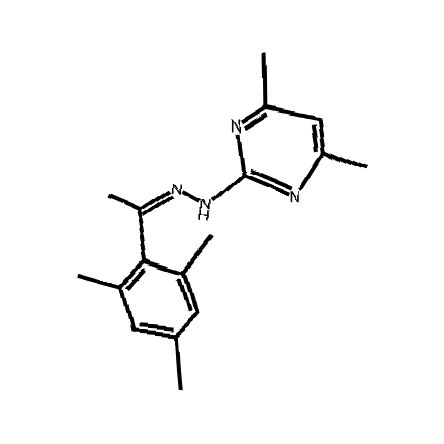 C/C(=N/Nc1nc(C)cc(C)n1)c1c(C)cc(C)cc1C